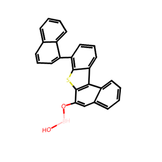 OBOc1cc2ccccc2c2c1sc1c(-c3cccc4ccccc34)cccc12